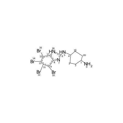 NC1CCC(Nc2nc3c(Br)c(Br)c(Br)c(Br)c3[nH]2)CC1